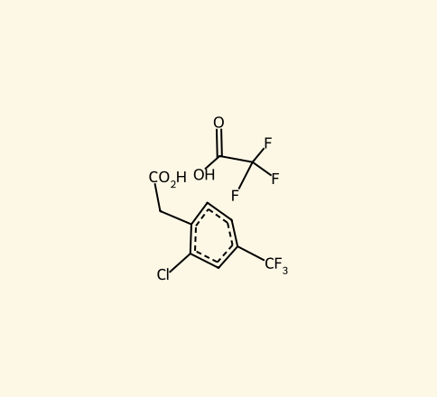 O=C(O)C(F)(F)F.O=C(O)Cc1ccc(C(F)(F)F)cc1Cl